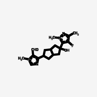 Cc1nn(C)c(C2(O)CC3CC(c4ncn(C)c4C=O)CC3C2)c1F